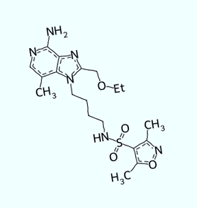 CCOCc1nc2c(N)ncc(C)c2n1CCCCNS(=O)(=O)c1c(C)noc1C